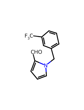 O=Cc1cccn1Cc1cccc(C(F)(F)F)c1